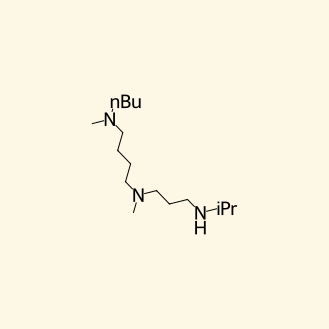 CCCCN(C)CCCCN(C)CCCNC(C)C